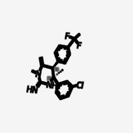 C=C1[C@@H](c2ccc(C(C)(F)F)cc2)[C@@](C)(c2cccc(Cl)c2)NC(=N)N1C